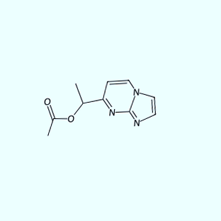 CC(=O)OC(C)c1ccn2ccnc2n1